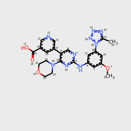 COc1cc(Nc2ncc(-c3cncc(C(=O)O)c3)c(N3CCOCC3)n2)cc(-n2nnnc2C)c1